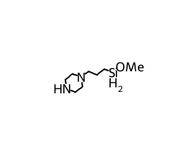 CO[SiH2]CCCN1CCNCC1